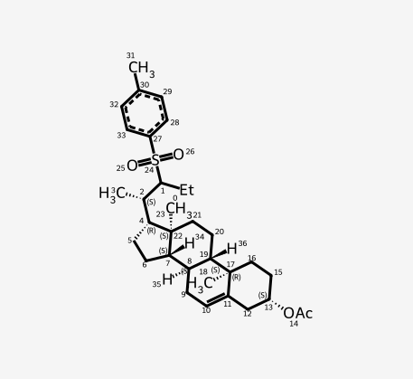 CCC([C@@H](C)[C@H]1CC[C@H]2[C@@H]3CC=C4C[C@@H](OC(C)=O)CC[C@]4(C)[C@H]3CC[C@]12C)S(=O)(=O)c1ccc(C)cc1